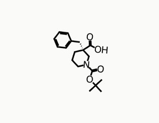 CC(C)(C)OC(=O)N1CCC[C@@](Cc2ccccc2)(C(=O)O)C1